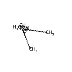 C=C(C)C(=O)OC(CCCCCCCCCCCCCCCCCC)=C(C)C(=O)OCCCCCCCCCCCCCCCCCC